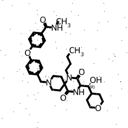 CCCCN1C(=O)C([C@H](O)C2CCOCC2)NC(=O)C12CCN(Cc1ccc(Oc3ccc(C(=O)NC)cc3)cc1)CC2